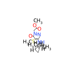 CCOC(=O)Cn1ncc(N[C@@H]2C[C@@H]3C[C@H]([C@H]2C)C3(C)C)c(SC)c1=O